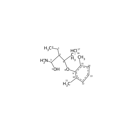 CCC(C(N)O)C(C)Oc1c(C)cccc1C.Cl